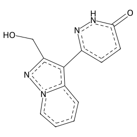 O=c1ccc(-c2c(CO)nn3ccccc23)n[nH]1